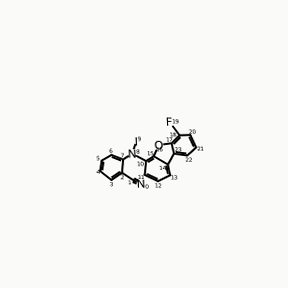 N#Cc1ccccc1N(I)c1cccc2c1oc1c(F)cccc12